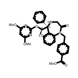 COC(=O)c1ccc(CN2C(=O)CN[C@](c3ccccc3)([C@H](Oc3nc(OC)cc(OC)n3)C(=O)O)c3ccccc32)cc1